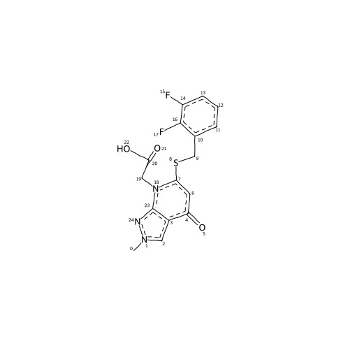 Cn1cc2c(=O)cc(SCc3cccc(F)c3F)n(CC(=O)O)c2n1